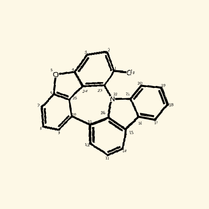 Clc1ccc2oc3cccc4c5cccc6c7ccccc7n(c1c2c34)c56